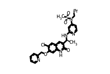 CC(C)CN(c1ccnc(N[C@@H](C)c2cc3cc(Cl)c(OCc4ccccn4)cc3[nH]c2=O)c1)S(C)(=O)=O